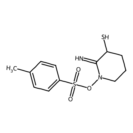 Cc1ccc(S(=O)(=O)ON2CCCC(S)C2=N)cc1